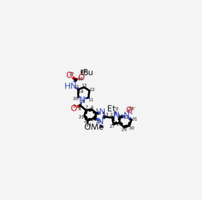 CCn1c(-c2nc3cc(C(=O)N4CCCC(NC(=O)OC(C)(C)C)C4)cc(OC)c3n2C)cc2ccc[n+]([O-])c21